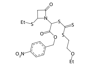 CCOCCSC(=S)SC(C(=O)OCc1ccc([N+](=O)[O-])cc1)N1C(=O)CC1SCC